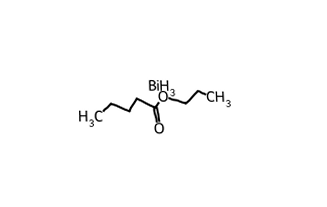 CCCCC(=O)OCCC.[BiH3]